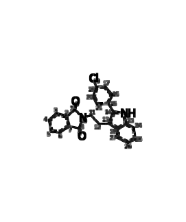 O=C1c2ccccc2C(=O)N1CCc1c(-c2ccc(Cl)cc2)[nH]c2ccccc12